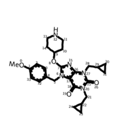 COc1ccc(Cn2c(OC3CCNCC3)nc3c2c(=O)n(CC2CC2)c(=O)n3CC2CC2)cc1